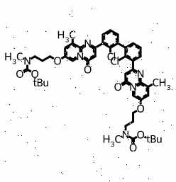 Cc1cc(OCCCN(C)C(=O)OC(C)(C)C)cn2c(=O)cc(-c3cccc(-c4cccc(-c5cc(=O)n6cc(OCCCN(C)C(=O)OC(C)(C)C)cc(C)c6n5)c4Cl)c3Cl)nc12